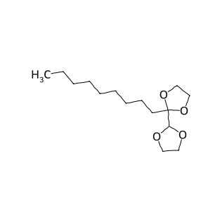 CCCCCCCCCC1(C2OCCO2)OCCO1